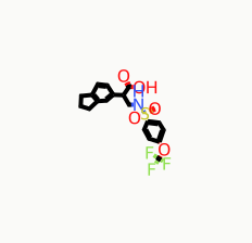 O=C(O)C(CNS(=O)(=O)c1ccc(OC(F)(F)F)cc1)c1ccc2c(c1)CCC2